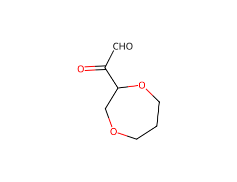 O=CC(=O)C1COCCCO1